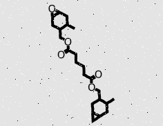 CC1CC2CC2CC1COC(=O)CCCCC(=O)OCC1CC2OC2CC1C